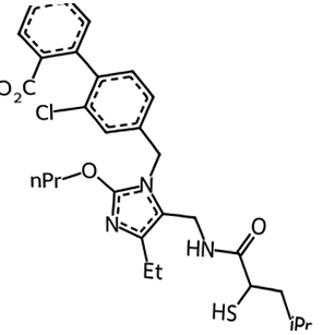 CCCOc1nc(CC)c(CNC(=O)C(S)CC(C)C)n1Cc1ccc(-c2ccccc2C(=O)O)c(Cl)c1